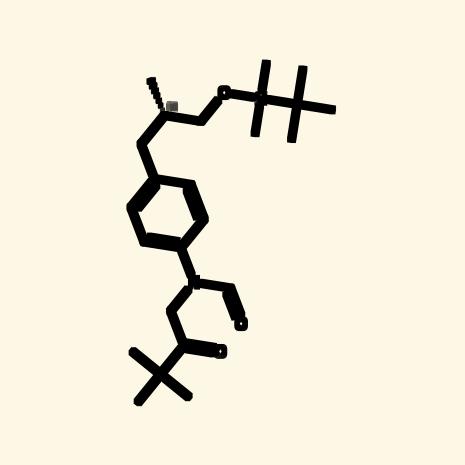 C[C@H](CO[Si](C)(C)C(C)(C)C)Cc1ccc(N(C=O)CC(=O)C(C)(C)C)cc1